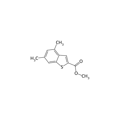 COC(=O)c1cc2c(C)cc(C)cc2s1